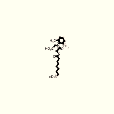 CCCCCCCCCCCCCCCCCC(=O)SCC(=O)N(CC(=O)O)c1c(C)cccc1C